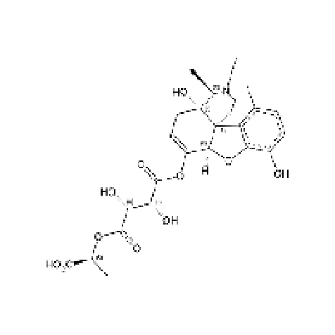 Cc1ccc(O)c2c1[C@]13CCN(C)[C@H](C)[C@]1(O)CC=C(OC(=O)[C@H](O)[C@@H](O)C(=O)O[C@@H](C)C(=O)O)[C@@H]3O2